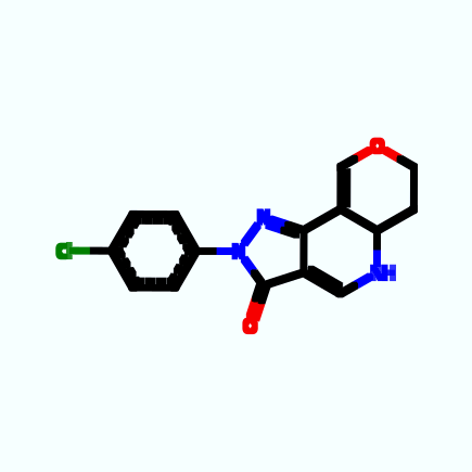 O=C1C2=CNC3CCOC=C3C2=NN1c1ccc(Cl)cc1